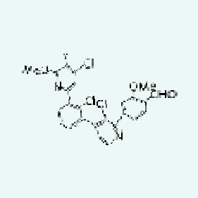 [CH2]c1c(Cl)cc(-c2cccc(-c3ccnc(-c4ccc(C=O)c(OC)c4)c3Cl)c2Cl)nc1OC